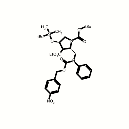 CCOC(=O)C1[C@@H](O[Si](C)(C)C(C)(C)C)CN(C(=O)OC(C)(C)C)[C@@H]1CN(C(=O)OCc1ccc([N+](=O)[O-])cc1)c1ccccc1